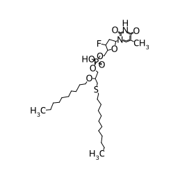 CCCCCCCCCCCCSCC(COP(=O)(O)OCC1OC(n2cc(C)c(=O)[nH]c2=O)CC1F)OCCCCCCCCCC